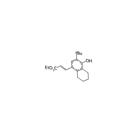 CCOC(=O)C=Cc1cc(C(C)(C)C)c(O)c2c1CCCC2